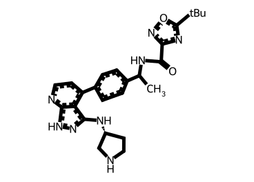 CC(NC(=O)c1noc(C(C)(C)C)n1)c1ccc(-c2ccnc3[nH]nc(N[C@@H]4CCNC4)c23)cc1